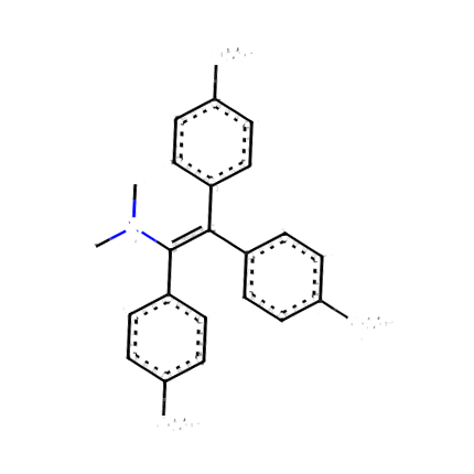 COc1ccc(C(=C(c2ccc(OC)cc2)N(C)C)c2ccc(OC)cc2)cc1